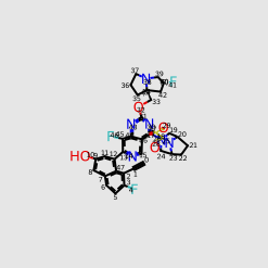 C#Cc1c(F)ccc2cc(O)cc(-c3ncc4c(N5CC6CCC(C5)N6S(C)(=O)=O)nc(OC[C@@]56CCCN5C[C@H](F)C6)nc4c3F)c12